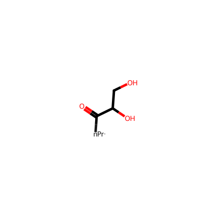 CC[CH]C(=O)C(O)CO